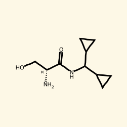 N[C@H](CO)C(=O)NC(C1CC1)C1CC1